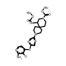 CC(C)(C)OC(=O)NC1CN(C(=O)OC(C)(C)C)CCC12CCN(c1cnc(Sc3ccnc(N)c3Cl)cn1)CC2